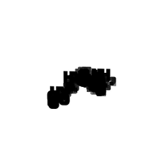 COC(=O)CCC(=O)NCc1ccc(CCNC(=O)[C@]2(C)CCCN2C(=O)[C@H](Cc2ccc(OC)cc2)NC(=O)[C@@H](N)[C@@H](C)OC(C)(C)C)cc1